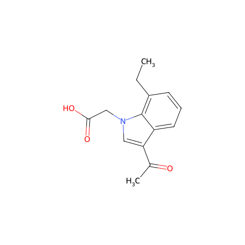 CCc1cccc2c(C(C)=O)cn(CC(=O)O)c12